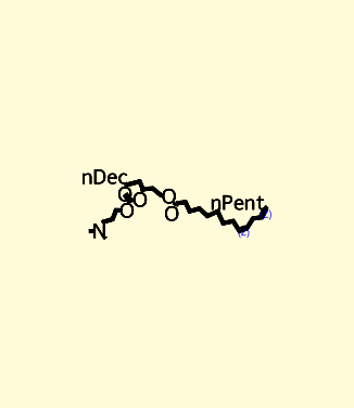 CCCCC/C=C\C/C=C\CCCCCCCC(=O)OCCC(CCCCCCCCCCCC)OC(=O)OCCCN(C)C